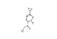 O=C(CCl)c1ccc(C2CC2)cc1F